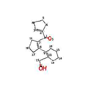 O=C(C1=CCCC1)C1=C(C2=C(CO)CCCC2)CCC1